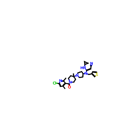 Cc1cc(Cl)nc(C)c1C(=O)N1CCC(C)(N2CCC(N(Cc3ccsc3)C(=CC#N)NC3CC3)CC2)CC1